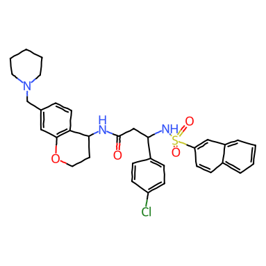 O=C(CC(NS(=O)(=O)c1ccc2ccccc2c1)c1ccc(Cl)cc1)NC1CCOc2cc(CN3CCCCC3)ccc21